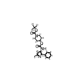 Cc1nc(-c2ccccc2)c(NC(=O)OC2CCN(C(=O)OC(C)(C)C)CC2)s1